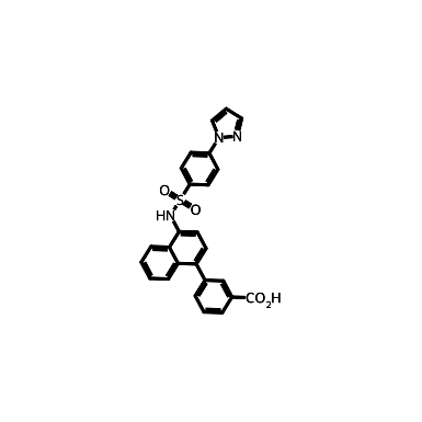 O=C(O)c1cccc(-c2ccc(NS(=O)(=O)c3ccc(-n4cccn4)cc3)c3ccccc23)c1